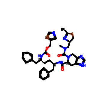 CC(C)C1=NC(CN(C)C(=O)N2Cc3nc[nH]c3C[C@H]2C(=O)N[C@H](CC[C@H](Cc2ccccc2)NC(=O)OCc2cncs2)Cc2ccccc2)CS1